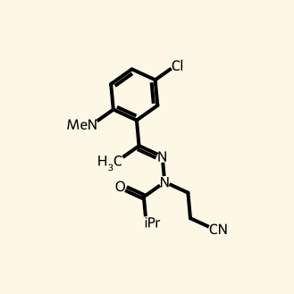 CNc1ccc(Cl)cc1/C(C)=N/N(CCC#N)C(=O)C(C)C